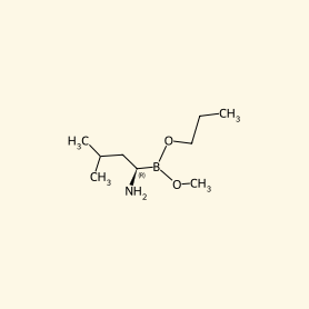 CCCOB(OC)[C@@H](N)CC(C)C